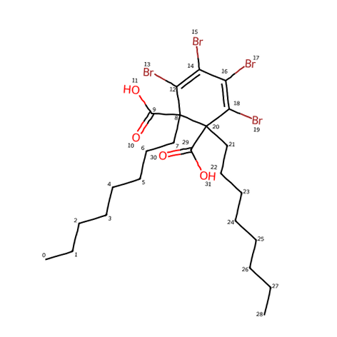 CCCCCCCCC1(C(=O)O)C(Br)=C(Br)C(Br)=C(Br)C1(CCCCCCCC)C(=O)O